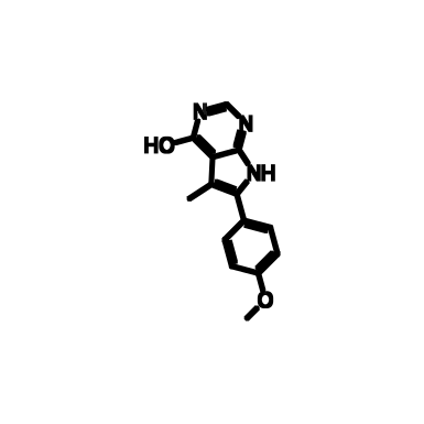 COc1ccc(-c2[nH]c3ncnc(O)c3c2C)cc1